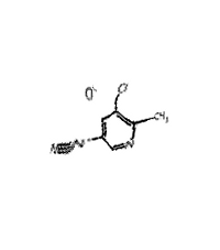 Cc1ncc([N+]#N)cc1Cl.[Cl-]